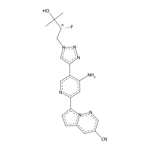 CC(C)(O)[C@H](F)Cn1cc(-c2cnc(-c3ccc4cc(C#N)cnn34)cc2N)nn1